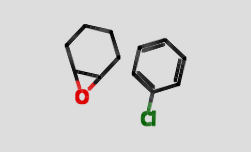 C1CCC2OC2C1.Clc1ccccc1